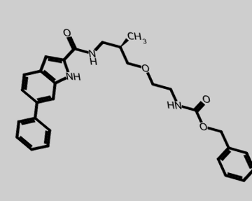 C[C@H](CNC(=O)c1cc2ccc(-c3ccccc3)cc2[nH]1)COCCNC(=O)OCc1ccccc1